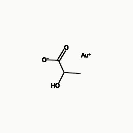 CC(O)C(=O)[O-].[Au+]